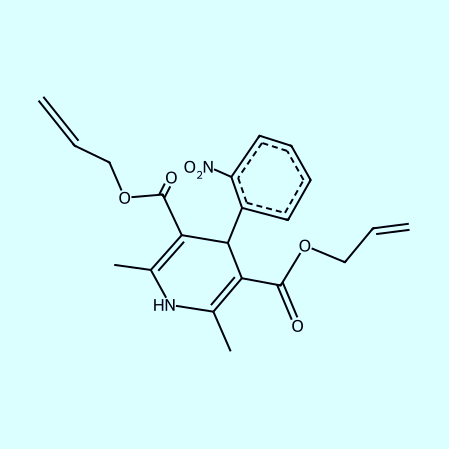 C=CCOC(=O)C1=C(C)NC(C)=C(C(=O)OCC=C)C1c1ccccc1[N+](=O)[O-]